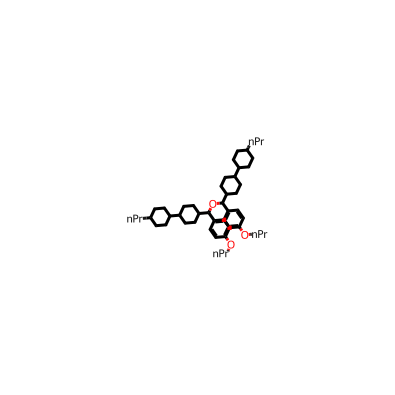 CCCOc1ccc(C(OC(c2ccc(OCCC)cc2)C2CCC(C3CCC(CCC)CC3)CC2)C2CCC(C3CCC(CCC)CC3)CC2)cc1